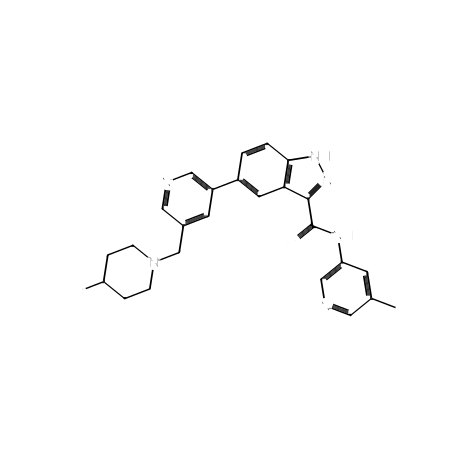 Cc1cncc(NC(=O)c2n[nH]c3ccc(-c4cncc(CN5CCC(O)CC5)c4)cc23)c1